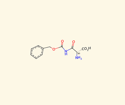 N[C@@H](C(=O)O)C(=O)NC(=O)OCc1ccccc1